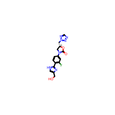 O=C1O[C@@H](Cn2ncnn2)CN1c1ccc(-c2nc(CO)c[nH]2)c(F)c1